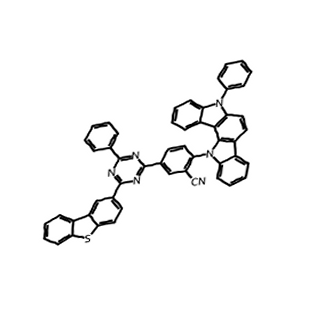 N#Cc1cc(-c2nc(-c3ccccc3)nc(-c3ccc4sc5ccccc5c4c3)n2)ccc1-n1c2ccccc2c2ccc3c(c4ccccc4n3-c3ccccc3)c21